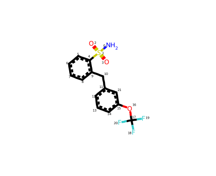 NS(=O)(=O)c1ccccc1Cc1cccc(OC(F)(F)F)c1